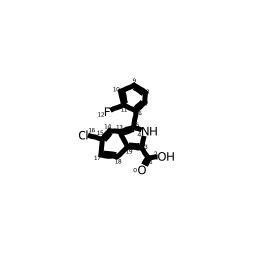 O=C(O)c1[nH]c(-c2ccccc2F)c2cc(Cl)ccc12